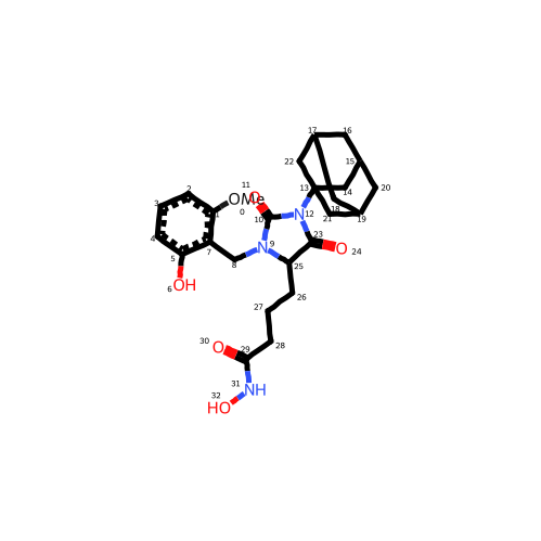 COc1cccc(O)c1CN1C(=O)N(C23CC4CC(CC(C4)C2)C3)C(=O)C1CCCC(=O)NO